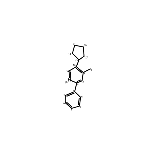 Cc1cc(-c2ccccc2)ncc1C1CCCC1